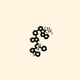 CC1(C)c2cccc(-c3cccc(-c4ccc(-c5cc(-c6cccc7sc8ccccc8c67)nc(-c6ccccc6)n5)c5ccccc45)c3)c2-c2ccc3ccccc3c21